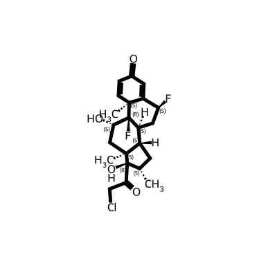 C[C@H]1C[C@H]2[C@@H]3C[C@H](F)C4=CC(=O)C=C[C@]4(C)[C@@]3(F)[C@@H](O)C[C@]2(C)[C@@]1(O)C(=O)CCl